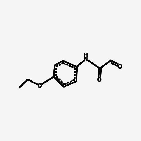 CCOc1ccc(NC(=O)C=O)cc1